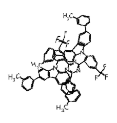 Cc1cccc(-c2ccc3c(c2)c2cc(-c4cccc(C)c4)ccc2n3-c2ccc(C(F)(F)F)cc2-c2nc(-c3ccccc3)nc(-c3cc(C(F)(F)F)ccc3-n3c4ccc(-c5cccc(C)c5)cc4c4cc(-c5cccc(C)c5)ccc43)n2)c1